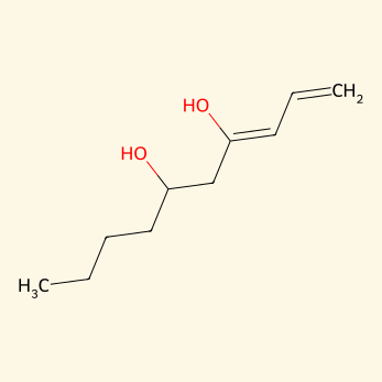 C=C/C=C(\O)CC(O)CCCC